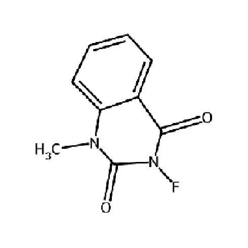 Cn1c(=O)n(F)c(=O)c2ccccc21